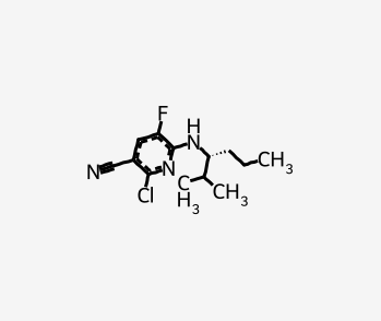 CCC[C@@H](Nc1nc(Cl)c(C#N)cc1F)C(C)C